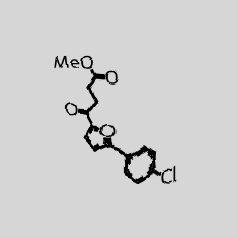 COC(=O)CCC(=O)c1ccc(-c2ccc(Cl)cc2)o1